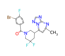 Cc1cc(C2CN(C(=O)c3ccc(F)c(Br)c3)CC(F)(F)C2)n2ncnc2n1